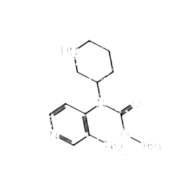 CC(C)(C)OC(=O)N(c1ccncc1[N+](=O)[O-])C1CCCNC1